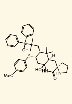 COc1ccc(S[C@H]2C[C@@]3(O)NC(=O)[C@@]4(CCCN4)C[C@@H]3C(C)(C)[C@@H]2CC(C)(C)[Si](O)(c2ccccc2)c2ccccc2)cc1